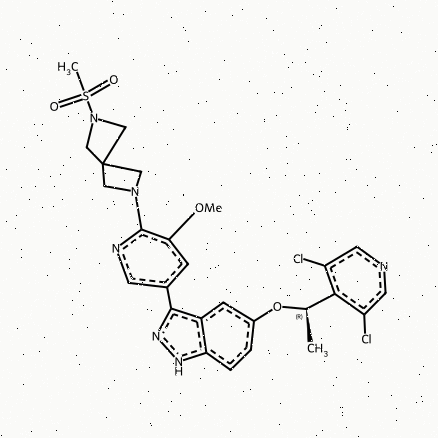 COc1cc(-c2n[nH]c3ccc(O[C@H](C)c4c(Cl)cncc4Cl)cc23)cnc1N1CC2(C1)CN(S(C)(=O)=O)C2